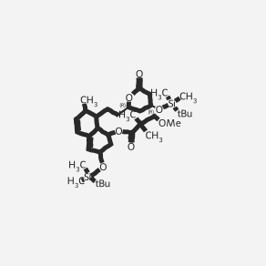 COCC(C)(C)C(=O)OC1CC(O[Si](C)(C)C(C)(C)C)C=C2C=CC(C)C(CC[C@@H]3C[C@@H](O[Si](C)(C)C(C)(C)C)CC(=O)O3)C21